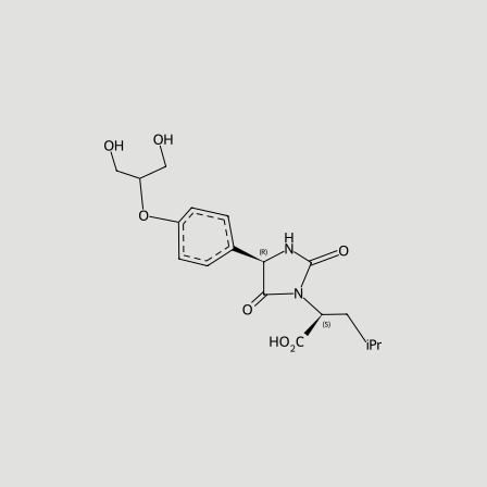 CC(C)C[C@@H](C(=O)O)N1C(=O)N[C@H](c2ccc(OC(CO)CO)cc2)C1=O